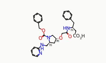 O=C(O)C[C@H](Cc1ccccc1)NC(=O)CO[C@@H]1C[C@@H](CNc2ccccn2)N(C(=O)OCc2ccccc2)C1